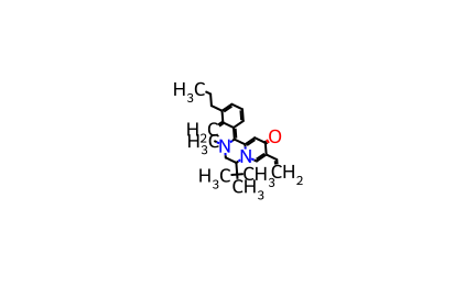 C=Cc1cn2c(cc1=O)/C(=c1\cccc(CCC)c1=C)N(C)CC2C(C)(C)C